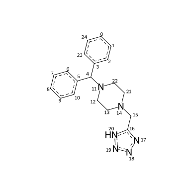 c1ccc(C(c2ccccc2)N2CCN(Cc3nnn[nH]3)CC2)cc1